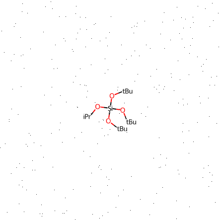 CC(C)O[Si](OC(C)(C)C)(OC(C)(C)C)OC(C)(C)C